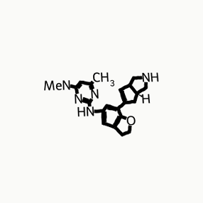 CNc1cc(C)nc(Nc2cc3c(c(C4=CC5CNC[C@H]5C4)c2)OCC3)n1